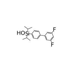 CC(C)[Si](O)(c1ccc(-c2cc(F)cc(F)c2)cc1)C(C)C